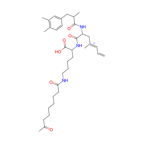 C=C/C=C(\C)CC(NC(=O)C(C)Cc1ccc(C)c(C)c1)C(=O)NC(CCCCNC(=O)CCCCCCC(C)=O)C(=O)O